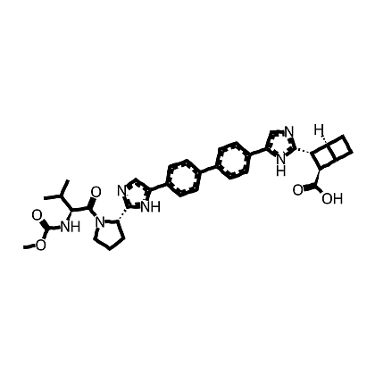 COC(=O)N[C@H](C(=O)N1CCC[C@H]1c1ncc(-c2ccc(-c3ccc(-c4cnc([C@H]5[C@H](C(=O)O)C6CC[C@@H]65)[nH]4)cc3)cc2)[nH]1)C(C)C